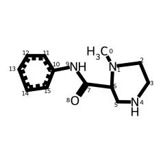 CN1CCNCC1C(=O)Nc1ccccc1